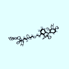 Cn1c(=O)n(C2CCC(=O)NC2=O)c2cccc(CCOCCOCCNC(=O)OC(C)(C)C)c21